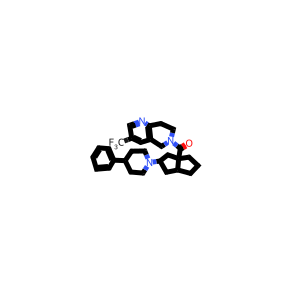 O=C(N1CCc2ncc(C(F)(F)F)cc2C1)C12CCCC1CC(N1CCC(c3ccccc3)CC1)C2